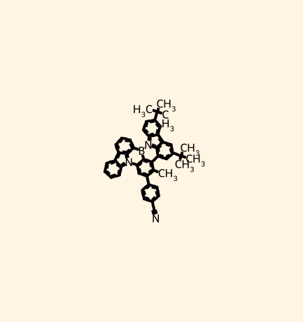 Cc1c(-c2ccc(C#N)cc2)cc2c3c1-c1cc(C(C)(C)C)cc4c5cc(C(C)(C)C)ccc5n(c14)B3c1cccc3c4ccccc4n-2c13